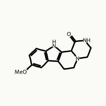 COc1ccc2[nH]c3c(c2c1)CCN1CCNC(=O)C31